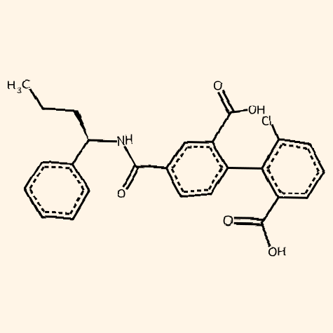 CCC[C@@H](NC(=O)c1ccc(-c2c(Cl)cccc2C(=O)O)c(C(=O)O)c1)c1ccccc1